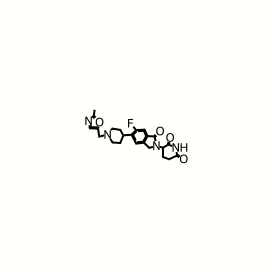 Cc1ncc(CN2CCC(c3cc4c(cc3F)C(=O)N(C3CCC(=O)NC3=O)C4)CC2)o1